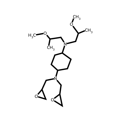 COC(C)CN(CC(C)OC)C1CCC(N(CC2CO2)CC2CO2)CC1